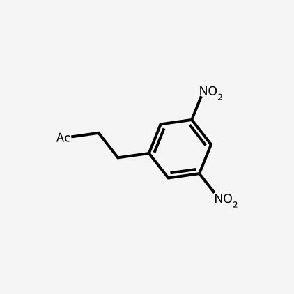 CC(=O)CCc1cc([N+](=O)[O-])cc([N+](=O)[O-])c1